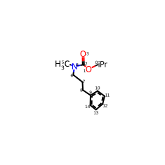 CC(C)OC(=O)N(C)CCCc1ccccc1